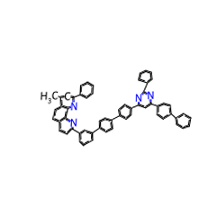 Cc1cc(-c2ccccc2)nc2c1ccc1ccc(-c3cccc(-c4ccc(-c5ccc(-c6cc(-c7ccc(-c8ccccc8)cc7)nc(-c7ccccc7)n6)cc5)cc4)c3)nc12